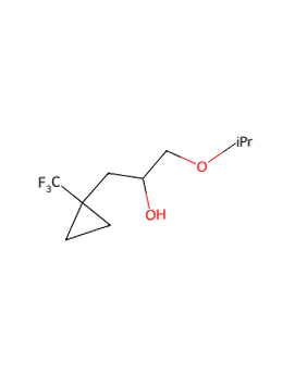 CC(C)OCC(O)CC1(C(F)(F)F)CC1